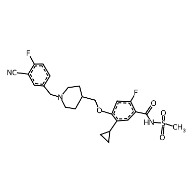 CS(=O)(=O)NC(=O)c1cc(C2CC2)c(OCC2CCN(Cc3ccc(F)c(C#N)c3)CC2)cc1F